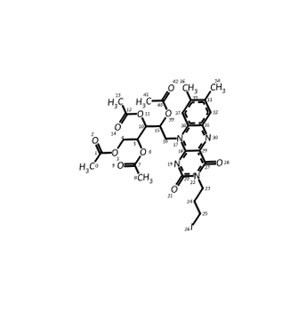 CC(=O)OCC(OC(C)=O)C(OC(C)=O)C(Cn1c2nc(=O)n(CCCI)c(=O)c-2nc2cc(C)c(C)cc21)OC(C)=O